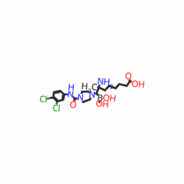 CC(N)(CCCCCC(=O)O)C(B(O)O)N1CCN(C(=O)Nc2ccc(Cl)c(Cl)c2)CC1